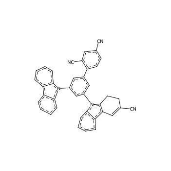 N#CC1=Cc2c(n(-c3cc(-c4ccc(C#N)cc4C#N)cc(-n4c5ccccc5c5ccccc54)c3)c3ccccc23)CC1